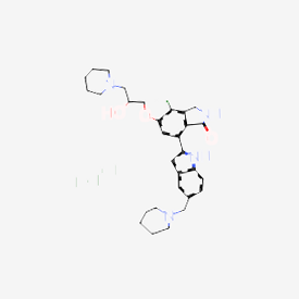 Cl.Cl.O=C1NCc2c(Cl)c(OCC(O)CN3CCCCC3)cc(-c3cc4cc(CN5CCCCC5)ccc4[nH]3)c21